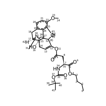 CCCCOC(=O)[C@H](CC(=O)OC1=CC[C@@]2(O)[C@H]3Cc4ccc(OC)c5c4[C@@]2(CCN3C)[C@H]1O5)NC(=O)OC(C)(C)C